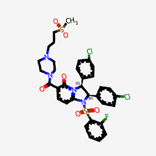 CS(=O)(=O)CCCN1CCN(C(=O)c2ccc3n(c2=O)[C@@H](c2ccc(Cl)cc2)[C@@H](c2ccc(Cl)cc2)N3S(=O)(=O)c2ccccc2F)CC1